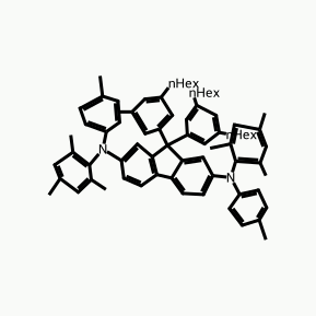 CCCCCCc1cc(C)cc(C2(c3cc(CCCCCC)cc(CCCCCC)c3)c3cc(N(c4ccc(C)cc4)c4c(C)cc(C)cc4C)ccc3-c3ccc(N(c4ccc(C)cc4)c4c(C)cc(C)cc4C)cc32)c1